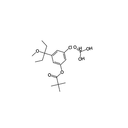 CCC(CC)(OC)c1cc(Cl)cc(OC(=O)C(C)(C)C)c1.O=[PH](O)O